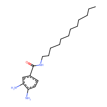 CCCCCCCCCCCCNC(=O)c1ccc(N)c(N)c1